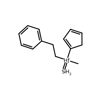 [CH3][Hf](=[SiH2])([CH2]Cc1ccccc1)[C]1=CC=CC1